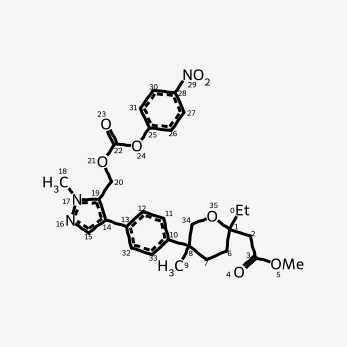 CCC1(CC(=O)OC)CCC(C)(c2ccc(-c3cnn(C)c3COC(=O)Oc3ccc([N+](=O)[O-])cc3)cc2)CO1